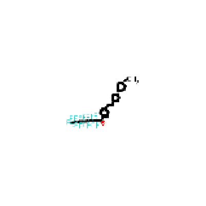 CC[C@H]1CC[C@H](C2CCC(CCc3ccc(C(=O)C(F)(F)C(F)(F)C(F)(F)C(F)(F)C(F)(F)C(F)(F)C(F)(F)F)cc3)CC2)CC1